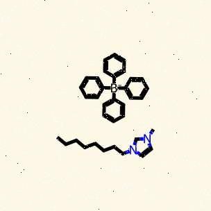 CCCCCCCCN1C=CN(C)C1.c1ccc([B-](c2ccccc2)(c2ccccc2)c2ccccc2)cc1